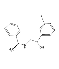 C[C@H](NC[C@@H](O)c1cccc(F)c1)c1ccccc1